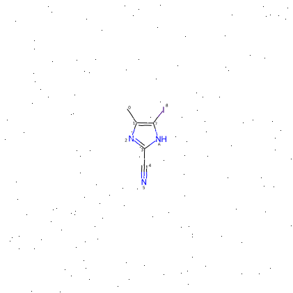 Cc1nc(C#N)[nH]c1I